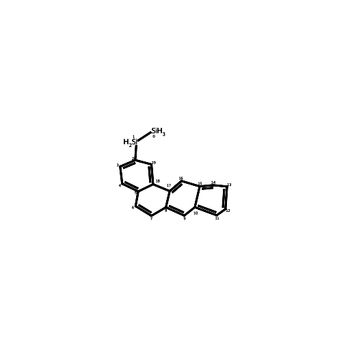 [SiH3][SiH2]c1ccc2ccc3cc4ccccc4cc3c2c1